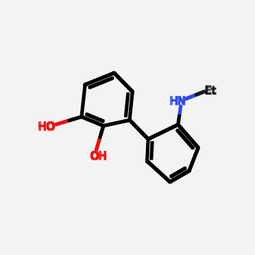 CCNc1ccccc1-c1cccc(O)c1O